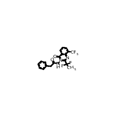 CC(F)(F)c1nc2c(C(F)(F)F)cccc2c(=O)n1NC(=O)Cc1ccccc1